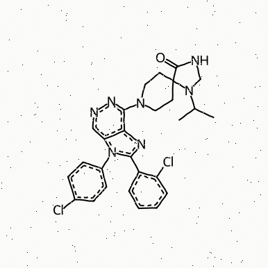 CC(C)N1CNC(=O)C12CCN(c1nncc3c1nc(-c1ccccc1Cl)n3-c1ccc(Cl)cc1)CC2